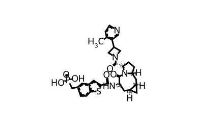 Cc1ccncc1C1CN(C(=O)[C@@H]2CC[C@@H]3C[C@H]4C[C@H]4C[C@H](NC(=O)c4cc5cc(CP(=O)(O)O)ccc5s4)C(=O)N32)C1